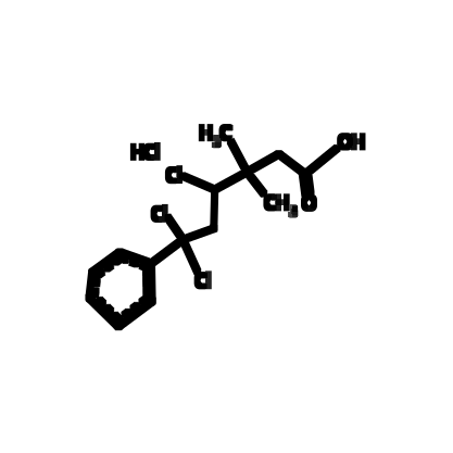 CC(C)(CC(=O)O)C(Cl)CC(Cl)(Cl)c1ccccc1.Cl